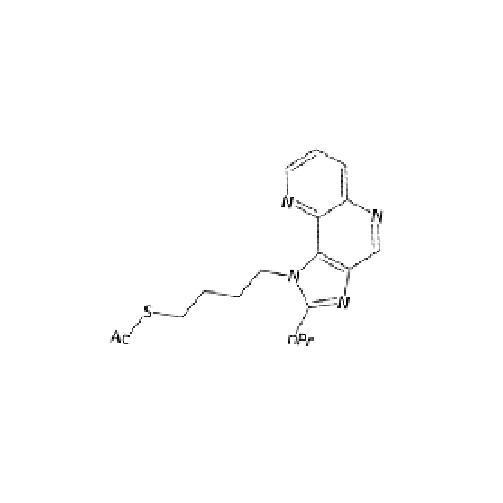 CCCc1nc2cnc3cccnc3c2n1CCCCSC(C)=O